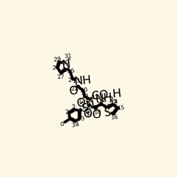 Cc1ccc(S(=O)(=O)N(C(=O)C(N)c2cccs2)[C@@H](CCC(=O)NCCc2cccn2C)C(=O)O)cc1